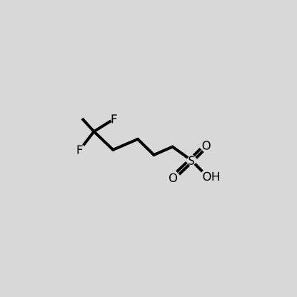 CC(F)(F)CCCCS(=O)(=O)O